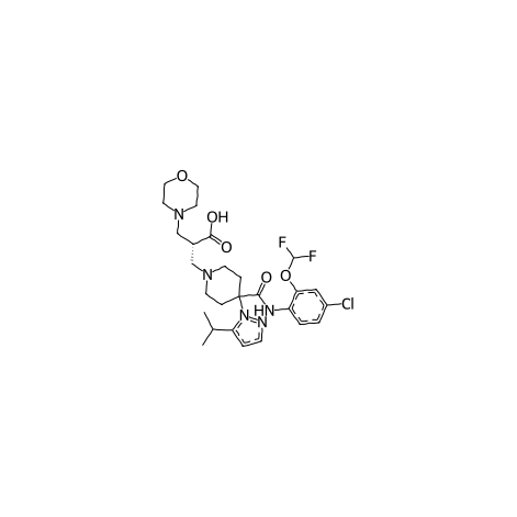 CC(C)c1ccnn1C1(C(=O)Nc2ccc(Cl)cc2OC(F)F)CCN(C[C@H](CN2CCOCC2)C(=O)O)CC1